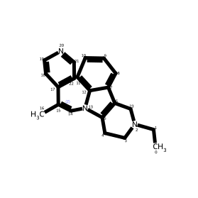 CCN1CCc2c(c3ccccc3n2/C=C(/C)c2ccncc2)C1